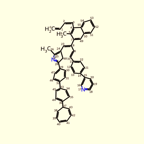 C=C/C=C\c1c(C)c(C(/C=C/c2ccc(C3=CN=C=C=C3)cc2)=C/C2=C(C)N=C(c3ccc(-c4ccc(C5C=CC=CC=C5)cc4)cc3)C2)cc2ccccc12